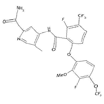 COc1c(Oc2ccc(C(F)(F)F)c(F)c2C(=O)Nc2cc(C(N)=O)ncc2C)ccc(OC(F)(F)F)c1F